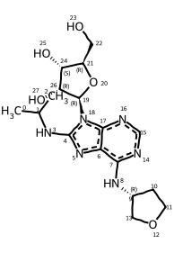 CC(C)Nc1nc2c(N[C@@H]3CCOC3)ncnc2n1[C@@H]1O[C@H](CO)[C@@H](O)[C@H]1O